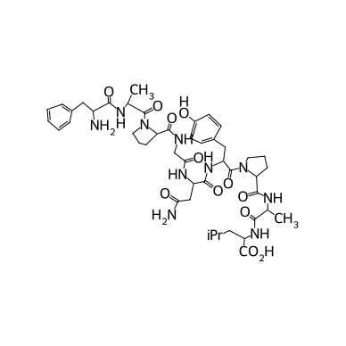 CC(C)CC(NC(=O)C(C)NC(=O)C1CCCN1C(=O)C(Cc1ccc(O)cc1)NC(=O)C(CC(N)=O)NC(=O)CNC(=O)C1CCCN1C(=O)C(C)NC(=O)C(N)Cc1ccccc1)C(=O)O